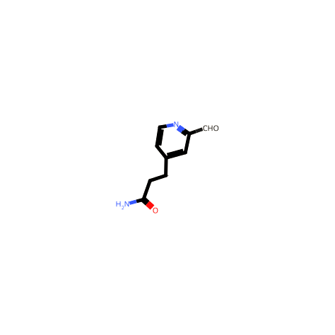 NC(=O)C[CH]c1ccnc(C=O)c1